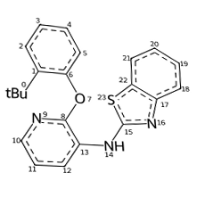 CC(C)(C)c1ccccc1Oc1ncccc1Nc1nc2ccccc2s1